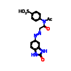 CC(=O)N(C(=O)CN=Nc1ccc2[nH]c(=O)[nH]c2c1)c1ccc(S(=O)(=O)O)cc1